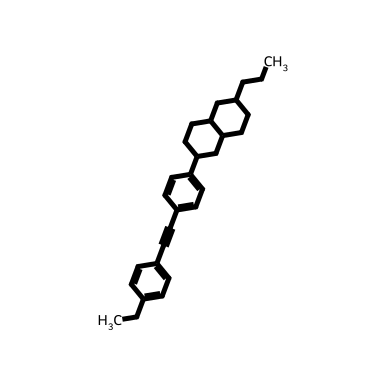 CCCC1CCC2CC(c3ccc(C#Cc4ccc(CC)cc4)cc3)CCC2C1